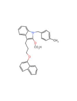 Cc1ccc(Cn2c(OC(=O)O)c(CCCOc3cccc4ccccc34)c3ccccc32)cc1